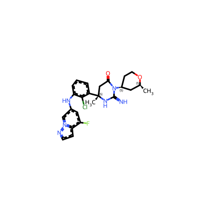 C[C@H]1C[C@@H](N2C(=N)N[C@](C)(c3cccc(Nc4cc(F)c5ccnn5c4)c3Cl)CC2=O)CCO1